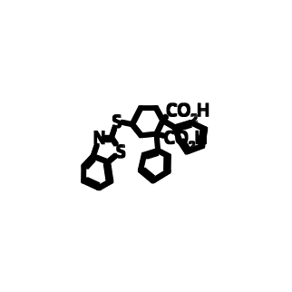 O=C(O)C1(c2ccccc2)CCC(Sc2nc3ccccc3s2)CC1(C(=O)O)c1ccccc1